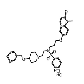 Cl.Cl.Cn1c(=O)ccc2cc(OCCCN(CCN3CCC(OCc4cccnc4)CC3)S(=O)(=O)c3ccccc3)ccc21